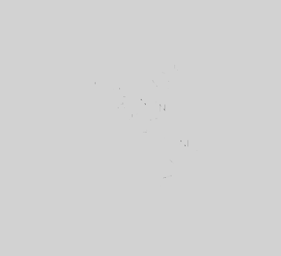 CCOC(=O)Cn1c(-c2ccc(Cl)s2)nc(CC[C@H](N)c2ccc(F)cc2)c(Br)c1=O